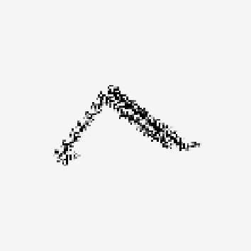 CC(=O)[O-].CC(=O)[O-].CC(=O)[O-].CC(=O)[O-].CC(=O)[O-].CC(=O)[O-].CC(=O)[O-].CC(=O)[O-].CC(=O)[O-].CC(=O)[O-].CC(=O)[O-].CC(=O)[O-].CC(=O)[O-].CC(=O)[O-].CC(=O)[O-].CC(=O)[O-].CC(=O)[O-].CC(=O)[O-].CC(=O)[O-].CC(=O)[O-].CC(=O)[O-].CC(=O)[O-].CC(=O)[O-].CC(=O)[O-].[Cu+2].[Cu+2].[Pd+2].[Pd+2]